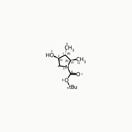 C[C@H]1[C@H](O)CN(C(=O)OC(C)(C)C)[C@@H]1C